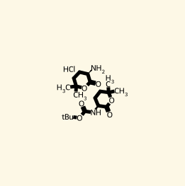 CC(C)(C)OC(=O)N[C@H]1CCC(C)(C)OC1=O.CC1(C)CC[C@H](N)C(=O)O1.Cl